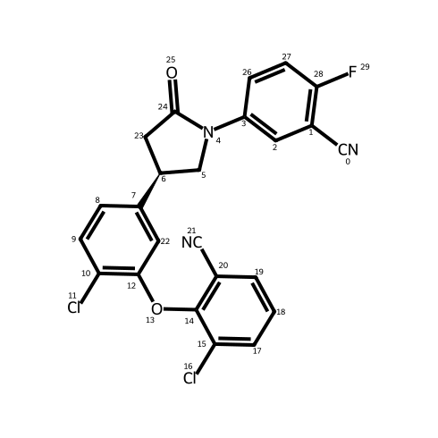 N#Cc1cc(N2C[C@@H](c3ccc(Cl)c(Oc4c(Cl)cccc4C#N)c3)CC2=O)ccc1F